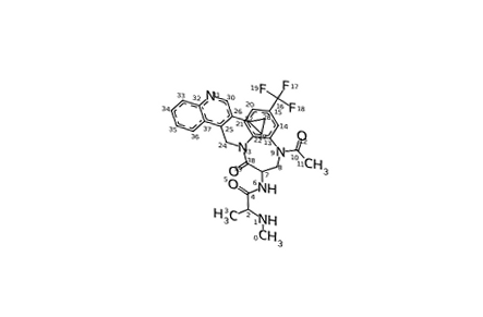 CNC(C)C(=O)NC1CN(C(C)=O)c2cc(C(F)(F)F)ccc2N(Cc2c(C3CC3)cnc3ccccc23)C1=O